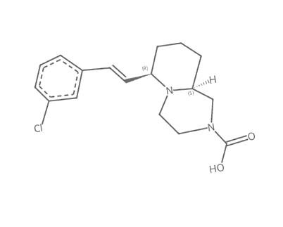 O=C(O)N1CCN2[C@@H](CCC[C@@H]2C=Cc2cccc(Cl)c2)C1